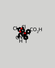 O=C1C[C@@H](C2C=CC=C(Cl)C2)[C@]2(C(=O)Nc3cc(Cl)ccc32)[C@@H](c2cc(I)ccc2Oc2ccc(C(=O)O)cc2)N1